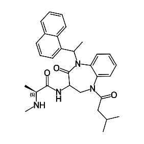 CN[C@@H](C)C(=O)NC1CN(C(=O)CC(C)C)c2ccccc2N(C(C)c2cccc3ccccc23)C1=O